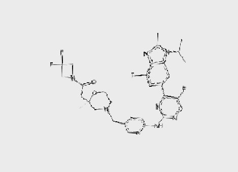 Cc1nc2c(F)cc(-c3nc(Nc4ccc(CN5CCO[C@](C)(CC(=O)N6CC(F)(F)C6)C5)cn4)ncc3F)cc2n1C(C)C